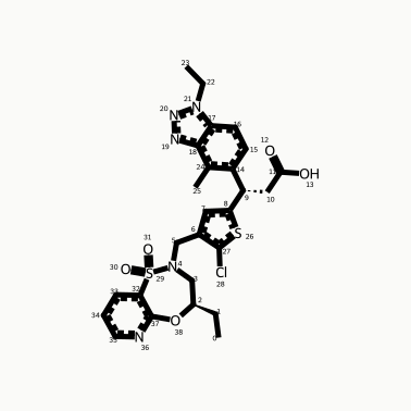 CC[C@@H]1CN(Cc2cc([C@@H](CC(=O)O)c3ccc4c(nnn4CC)c3C)sc2Cl)S(=O)(=O)c2cccnc2O1